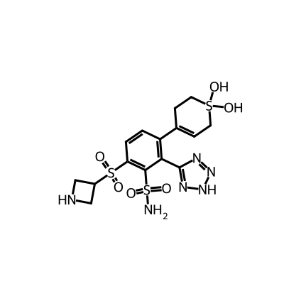 NS(=O)(=O)c1c(S(=O)(=O)C2CNC2)ccc(C2=CCS(O)(O)CC2)c1-c1nn[nH]n1